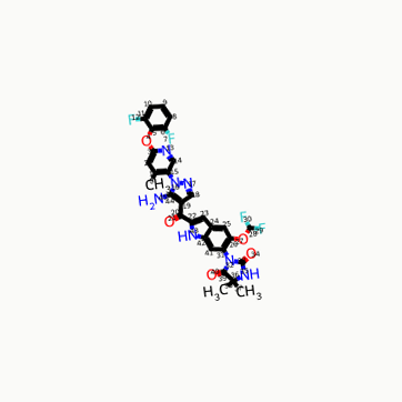 Cc1cc(Oc2c(F)cccc2F)ncc1-n1ncc(C(=O)c2cc3cc(OC(F)F)c(N4C(=O)NC(C)(C)C4=O)cc3[nH]2)c1N